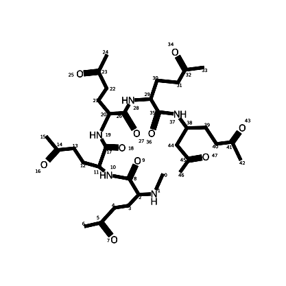 CNC(CCC(C)=O)C(=O)NC(CCC(C)=O)C(=O)NC(CCC(C)=O)C(=O)NC(CCC(C)=O)C(=O)NC(CCC(C)=O)CC(C)=O